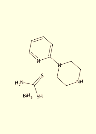 NC(=S)S.[BiH3].c1ccc(N2CCNCC2)nc1